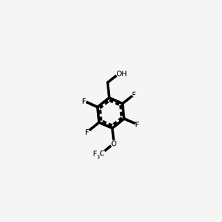 OCc1c(F)c(F)c(OC(F)(F)F)c(F)c1F